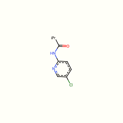 CC(C)C(=O)Nc1ccc(Cl)cn1